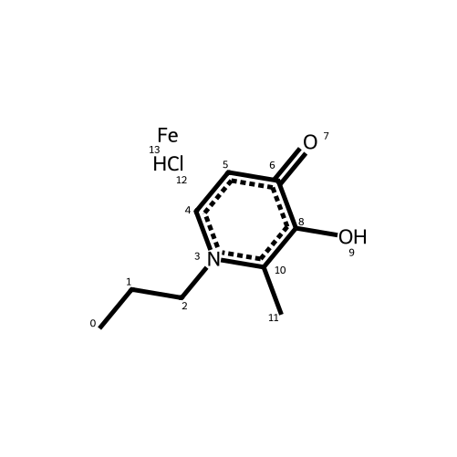 CCCn1ccc(=O)c(O)c1C.Cl.[Fe]